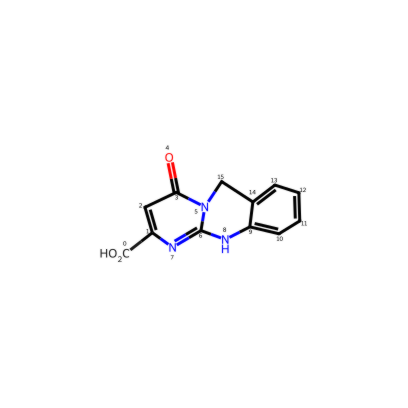 O=C(O)c1cc(=O)n2c(n1)Nc1ccccc1C2